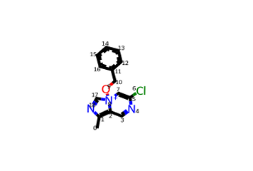 CC1=C2C=NC(Cl)=C[N+]2(OCc2ccccc2)C=N1